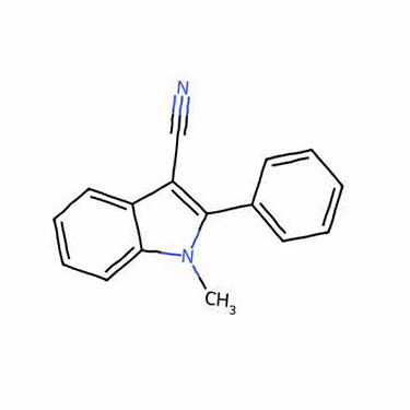 Cn1c(-c2ccccc2)c(C#N)c2ccccc21